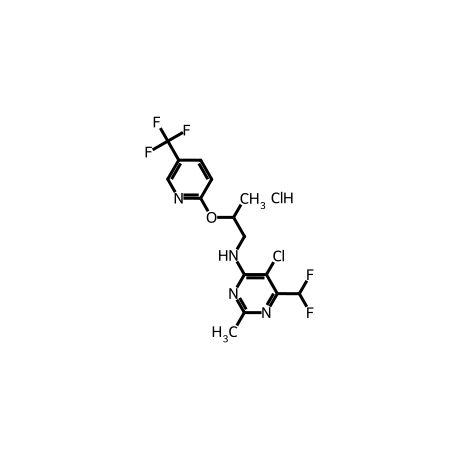 Cc1nc(NCC(C)Oc2ccc(C(F)(F)F)cn2)c(Cl)c(C(F)F)n1.Cl